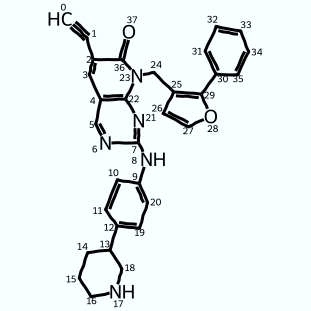 C#Cc1cc2cnc(Nc3ccc(C4CCCNC4)cc3)nc2n(Cc2ccoc2-c2ccccc2)c1=O